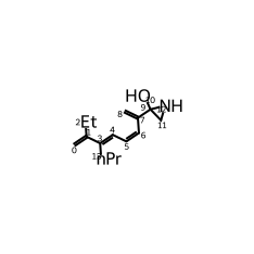 C=C(CC)/C(=C/C=C\C(=C)C1(O)CN1)CCC